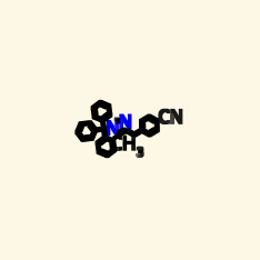 Cc1c(Cc2ccc(C#N)cc2)ncn1C(c1ccccc1)(c1ccccc1)c1ccccc1